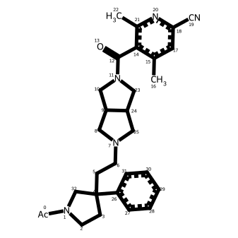 CC(=O)N1CCC(CCN2CC3CN(C(=O)c4c(C)cc(C#N)nc4C)CC3C2)(c2ccccc2)C1